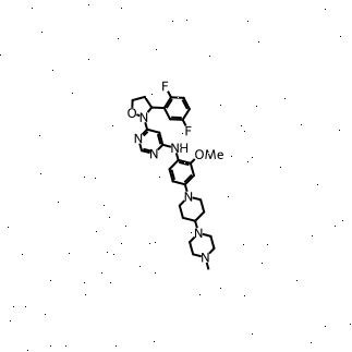 COc1cc(N2CCC(N3CCN(C)CC3)CC2)ccc1Nc1cc(N2OCCC2c2cc(F)ccc2F)ncn1